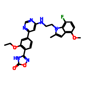 CCOc1cc(-c2cc(NCCn3c(C)cc4c(OC)ccc(F)c43)ncn2)ccc1-c1noc(=O)[nH]1